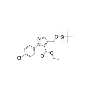 CCOC(=O)c1c(CO[Si](C)(C)C(C)(C)C)cnn1-c1ccc(Cl)cc1